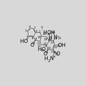 C[C@H]1c2cccc(O)c2C(=O)C2C[C@@]3(O)C(=O)C(C(N)=O)=C(O)[C@@H](N(C)C)[C@@H]3[C@@H](O)[C@@H]21